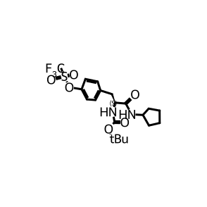 CC(C)(C)OC(=O)N[C@@H](Cc1ccc(OS(=O)(=O)C(F)(F)F)cc1)C(=O)NC1CCCC1